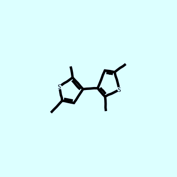 Cc1cc(-c2cc(C)sc2C)c(C)s1